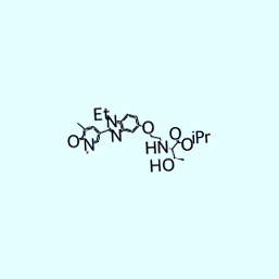 CCn1c(-c2cc(C)c(=O)n(C)c2)nc2cc(OCCN[C@H](C(=O)OC(C)C)[C@@H](C)O)ccc21